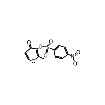 Cc1occc(=O)c1OS(=O)(=O)c1ccc([N+](=O)[O-])cc1